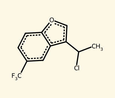 CC(Cl)c1coc2ccc(C(F)(F)F)cc12